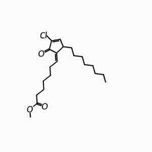 CCCCCCCCC1C=C(Cl)C(=O)C1=CCCCCCC(=O)OC